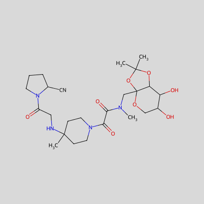 CN(CC12OCC(O)C(O)C1OC(C)(C)O2)C(=O)C(=O)N1CCC(C)(NCC(=O)N2CCCC2C#N)CC1